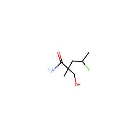 CC(F)CC(C)(CO)C(N)=O